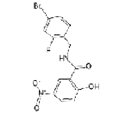 O=C(NCc1ccc(Br)cc1F)c1cc([N+](=O)[O-])ccc1O